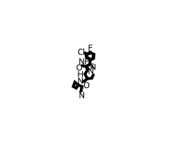 N#CCC1(NC(=O)C2CCn3nc(-c4ccc(F)c(Cl)c4)c(C(N)=O)c3C2)CCC1